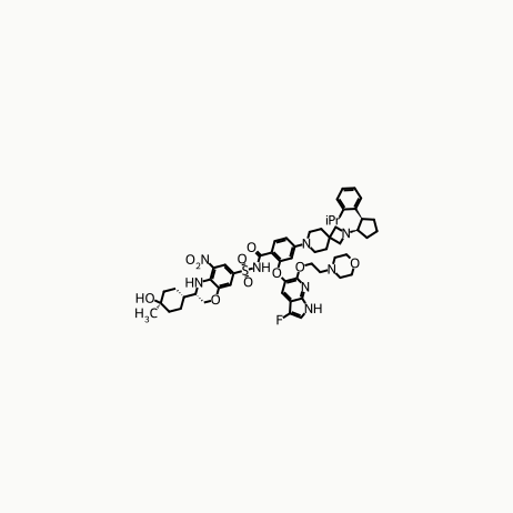 CC(C)c1ccccc1[C@H]1CCC[C@H]1N1CC2(CCN(c3ccc(C(=O)NS(=O)(=O)c4cc5c(c([N+](=O)[O-])c4)N[C@@H]([C@H]4CC[C@](C)(O)CC4)CO5)c(Oc4cc5c(F)c[nH]c5nc4OCCN4CCOCC4)c3)CC2)C1